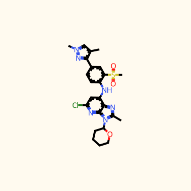 Cc1cn(C)nc1-c1ccc(Nc2cc(Cl)nc3c2nc(C)n3C2CCCCO2)c(S(C)(=O)=O)c1